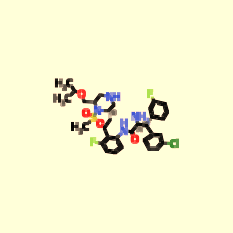 CC(C)OCC1CNC[C@H](CCc2c(F)cccc2NC(=O)[C@@H](N)[C@H](c2cccc(F)c2)c2cccc(Cl)c2)N1S(C)(=O)=O